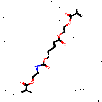 C=C(C)C(=O)OCCNC(=O)OCCCCC(=O)OCCOC(=O)C(=C)C